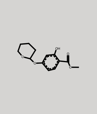 COC(=O)c1ccc(OC2CCCCO2)cc1O